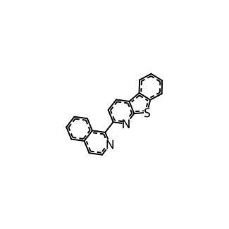 c1ccc2c(-c3ccc4c(n3)sc3ccccc34)nccc2c1